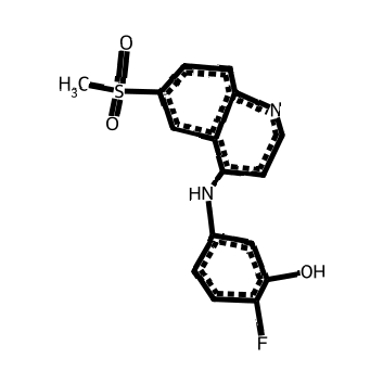 CS(=O)(=O)c1ccc2nccc(Nc3ccc(F)c(O)c3)c2c1